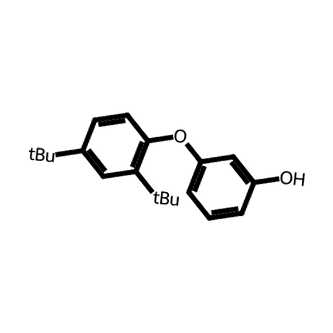 CC(C)(C)c1ccc(Oc2cccc(O)c2)c(C(C)(C)C)c1